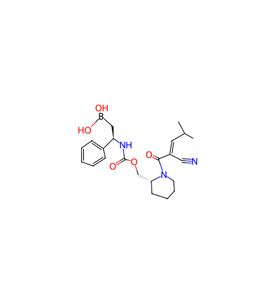 CC(C)C=C(C#N)C(=O)N1CCCC[C@@H]1COC(=O)N[C@H](CB(O)O)c1ccccc1